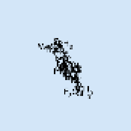 COC(=O)C(C)(C)CNCCCCCNc1ncccc1-c1nc(NS(=O)(=O)c2cccc(F)n2)cnc1-n1ccc(OCC(C)(C)C(F)(F)F)n1